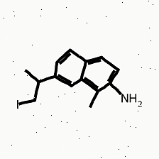 Cc1c(N)ccc2ccc(C(C)CI)cc12